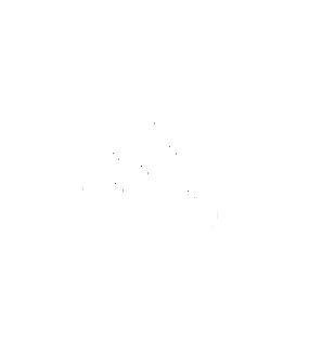 CC(C)(C)Nc1ncc([N+](=O)[O-])c(NC2CCN(C(=O)O)C2)n1